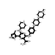 Cc1c[nH]nc1-c1nc(C(N)=O)c(Nc2ccc(N3CCC(N4CCN(C)CC4)CC3)cc2)nc1NC1CCOCC1